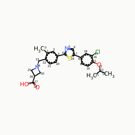 Cc1cc(-c2ncc(-c3ccc(OC(C)C)c(Cl)c3)s2)ccc1CN1CC(C(=O)O)C1